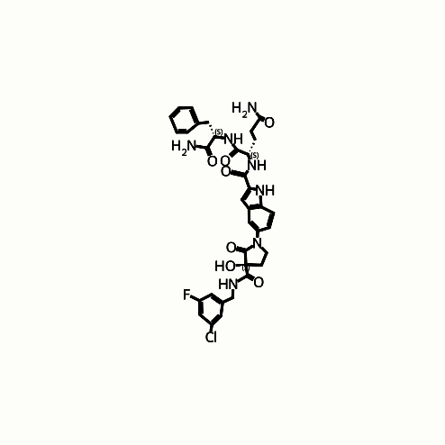 NC(=O)CC[C@H](NC(=O)c1cc2cc(N3CC[C@](O)(C(=O)NCc4cc(F)cc(Cl)c4)C3=O)ccc2[nH]1)C(=O)N[C@@H](Cc1ccccc1)C(N)=O